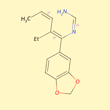 C\C=C/C(CC)=C(\N=C/N)c1ccc2c(c1)OCO2